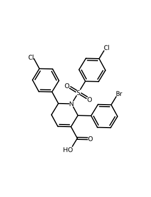 O=C(O)C1=CCC(c2ccc(Cl)cc2)N(S(=O)(=O)c2ccc(Cl)cc2)C1c1cccc(Br)c1